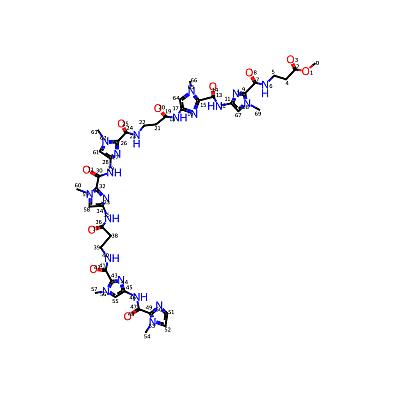 COC(=O)CCNC(=O)c1nc(NC(=O)c2nc(NC(=O)CCNC(=O)c3nc(NC(=O)c4nc(NC(=O)CCNC(=O)c5nc(NC(=O)c6nccn6C)cn5C)cn4C)cn3C)cn2C)cn1C